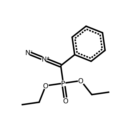 CCOP(=O)(OCC)C(=[N+]=[N-])c1ccccc1